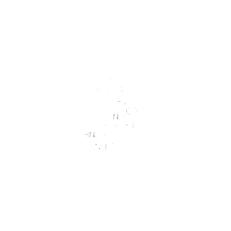 N=C(N)c1ccc2c(F)c(C(=O)O)n(Cc3cccc4ccccc34)c2c1